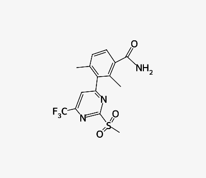 Cc1ccc(C(N)=O)c(C)c1-c1cc(C(F)(F)F)nc(S(C)(=O)=O)n1